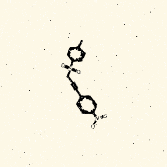 Cc1ccc(S(=O)(=O)CC#Cc2ccc([N+](=O)[O-])cc2)cc1